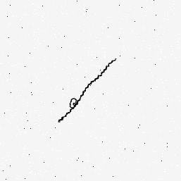 CCCCCCCCCCCCCCCCCCCCCCCCCCCCC(=O)CCCCCCCCC